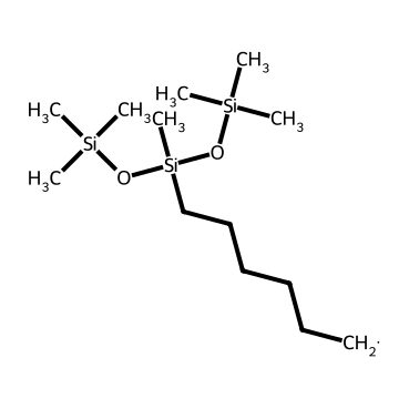 [CH2]CCCCC[Si](C)(O[Si](C)(C)C)O[Si](C)(C)C